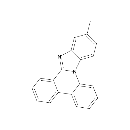 Cc1ccc2c(c1)nc1c3ccccc3c3ccccc3n21